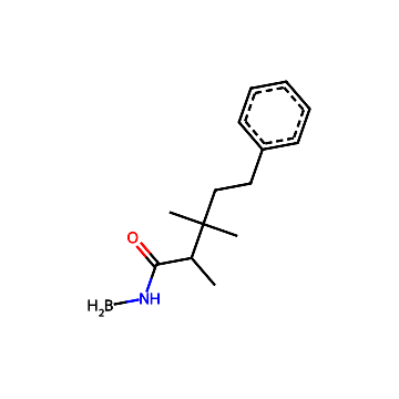 BNC(=O)C(C)C(C)(C)CCc1ccccc1